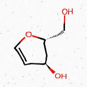 OC[C@H]1OC=C[C@@H]1O